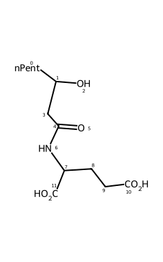 CCCCCC(O)CC(=O)NC(CCC(=O)O)C(=O)O